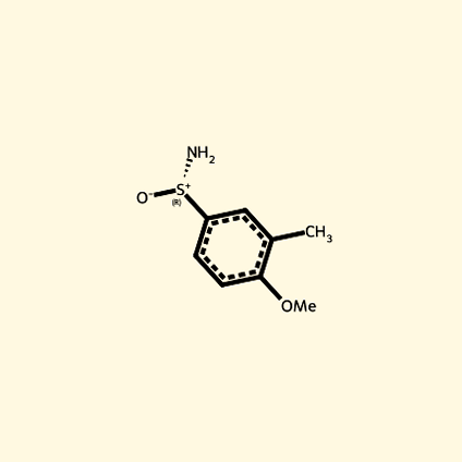 COc1ccc([S@@+](N)[O-])cc1C